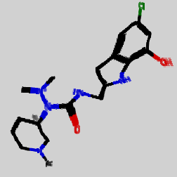 C=[N+](C)N(C(=O)NCc1cc2cc(Cl)cc(O)c2[nH]1)[C@@H]1CCCN(C(C)=O)C1